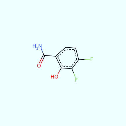 NC(=O)c1ccc(F)c(F)c1O